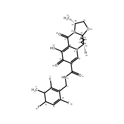 CC1C(F)=C(CNC(=O)c2cn3c(c(O)c2=O)C(=O)N2[C@H](C)CO[C@]24CCC[C@H]34)C(F)=CC1F